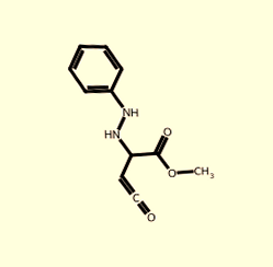 COC(=O)C(C=C=O)NNc1ccccc1